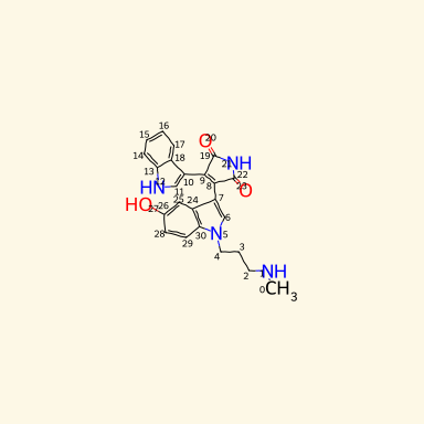 CNCCCn1cc(C2=C(c3c[nH]c4ccccc34)C(=O)NC2=O)c2cc(O)ccc21